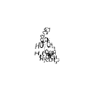 Cc1ncc2c(c1C(CCC(C)O/N=[N+](\O)N(C)C(C)(C)C)C(=O)O)COC2c1ccc(Cl)cc1